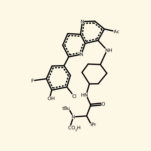 CC(=O)c1cnc2ccc(-c3cc(F)c(O)c(Cl)c3)nc2c1NC1CCC(NC(=O)C(C(C)C)N(C(=O)O)C(C)(C)C)CC1